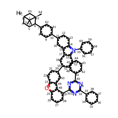 CC1(C)[C@H]2CCC(c3ccc(-c4ccc5c(c4)c4cc(-c6ccc7oc8cccc(-c9nc(-c%10ccccc%10)nc(-c%10ccccc%10)n9)c8c7c6)ccc4n5-c4ccccc4)cc3)[C@@]1(C)C2